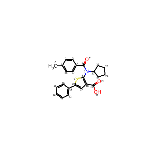 Cc1ccc(C(=O)N(c2sc(-c3ccccc3)cc2C(=O)O)C2CCCC2)cc1